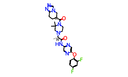 C[C@@H](C(=O)Nc1cnc(Oc2ccc(F)cc2F)cn1)N1CCN(C(=O)[C@H]2CCc3nncn3C2)C(C)(C)C1